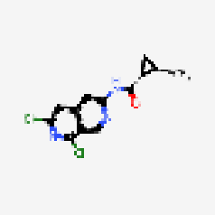 O=C(Nc1cc2cc(Cl)nc(Cl)c2cn1)[C@@H]1C[C@H]1C(F)(F)F